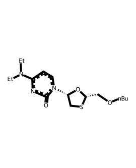 CCCCOC[C@H]1O[C@@H](n2ccc(N(CC)CC)nc2=O)CS1